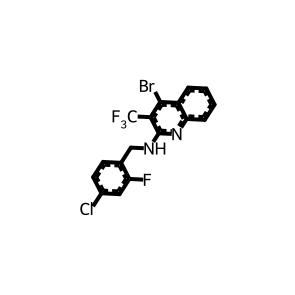 Fc1cc(Cl)ccc1CNc1nc2ccccc2c(Br)c1C(F)(F)F